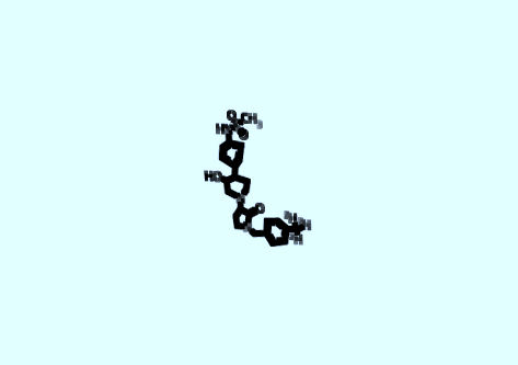 [2H]C([2H])([2H])c1ccc(CN2CCC(N3CCC(c4ccc(NS(C)(=O)=O)cc4)C(O)C3)C2=O)cc1